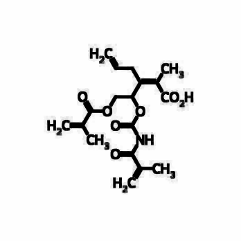 C=CCC(=C(C)C(=O)O)C(COC(=O)C(=C)C)OC(=O)NC(=O)C(=C)C